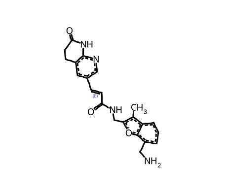 Cc1c(CNC(=O)/C=C/c2cnc3c(c2)CCC(=O)N3)oc2c(CN)cccc12